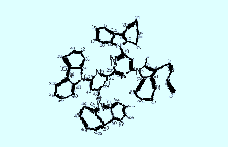 C=C/C=C\c1c(C)n(-c2cc(-n3c4c(c5ccccc53)C=CCC4)nc(-c3nc(-n4c5ccccc5c5ccccc54)cc(-n4c5ccccc5c5ccccc54)n3)n2)c2ccccc12